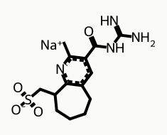 Cc1nc2c(cc1C(=O)NC(=N)N)CCCCC2CS(=O)(=O)[O-].[Na+]